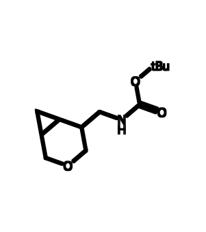 CC(C)(C)OC(=O)NCC1COCC2CC12